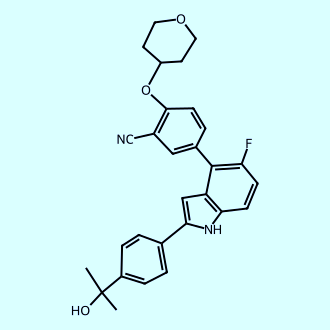 CC(C)(O)c1ccc(-c2cc3c(-c4ccc(OC5CCOCC5)c(C#N)c4)c(F)ccc3[nH]2)cc1